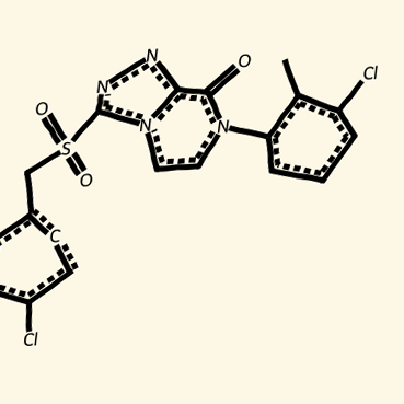 Cc1c(Cl)cccc1-n1ccn2c(S(=O)(=O)Cc3ccc(Cl)cc3)nnc2c1=O